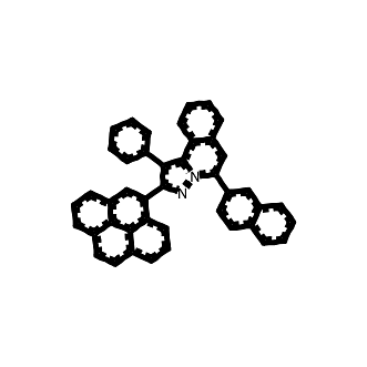 c1ccc(-c2c(-c3cc4cccc5ccc6cccc3c6c54)nn3c(-c4ccc5ccccc5c4)cc4ccccc4c23)cc1